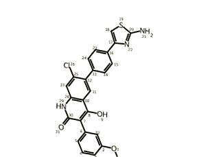 COc1cccc(-c2c(O)c3cc(-c4ccc(-c5csc(N)n5)cc4)c(Cl)cc3[nH]c2=O)c1